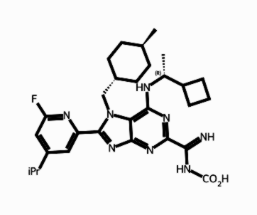 CC(C)c1cc(F)nc(-c2nc3nc(C(=N)NC(=O)O)nc(N[C@H](C)C4CCC4)c3n2C[C@H]2CC[C@H](C)CC2)c1